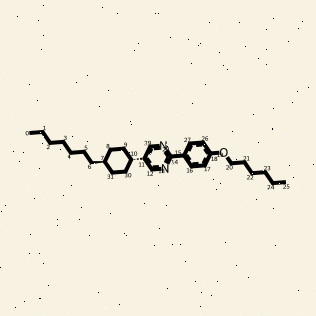 CCCCCCC[C@H]1CC[C@H](c2cnc(-c3ccc(OCCCCCC)cc3)nc2)CC1